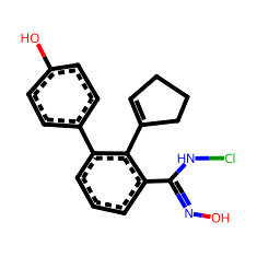 ON=C(NCl)c1cccc(-c2ccc(O)cc2)c1C1=CCCC1